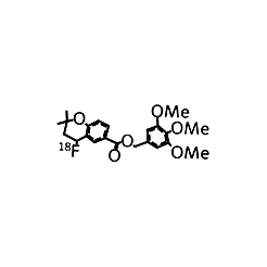 COc1cc(COC(=O)c2ccc3c(c2)C([18F])CC(C)(C)O3)cc(OC)c1OC